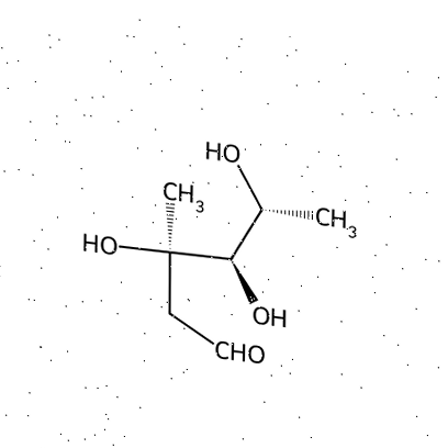 C[C@@H](O)[C@@H](O)[C@](C)(O)CC=O